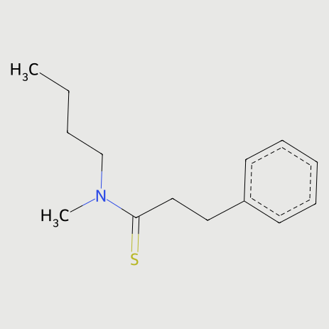 CCCCN(C)C(=S)CCc1ccccc1